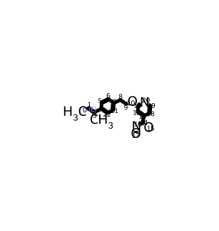 C/C=C(\C)c1ccc(CCOc2cc(C(=O)N=O)ccn2)cc1